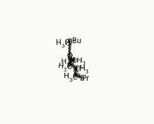 CCCCC(C)CCCCCCCCOCC(CCCC(C)CCCC(C)CCCC(C)CCCC(C)C)CN(C)C